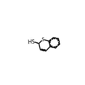 SC1C=Cc2ccccc2S1